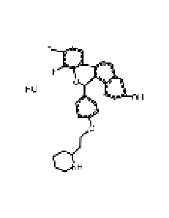 Cl.Oc1ccc2c3c(ccc2c1)-c1ccc(F)c(F)c1OC3c1ccc(OCCC2CCCCN2)cc1